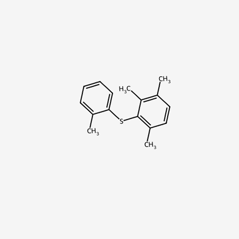 Cc1ccccc1Sc1c(C)ccc(C)c1C